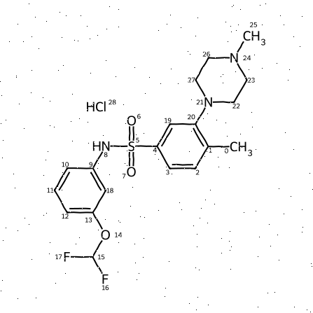 Cc1ccc(S(=O)(=O)Nc2cccc(OC(F)F)c2)cc1N1CCN(C)CC1.Cl